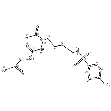 Cc1ccc(S(=O)(=O)NCCCC[C@H](NC(=O)NCC(=O)O)C(=O)O)cc1